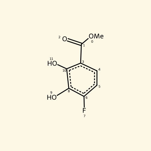 COC(=O)c1ccc(F)c(O)c1O